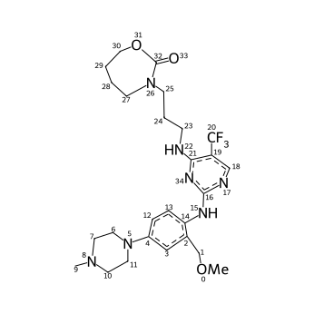 COCc1cc(N2CCN(C)CC2)ccc1Nc1ncc(C(F)(F)F)c(NCCCN2CCCCOC2=O)n1